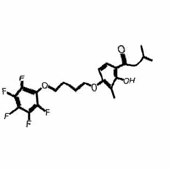 Cc1c(OCCCCOc2c(F)c(F)c(F)c(F)c2F)ccc(C(=O)CC(C)C)c1O